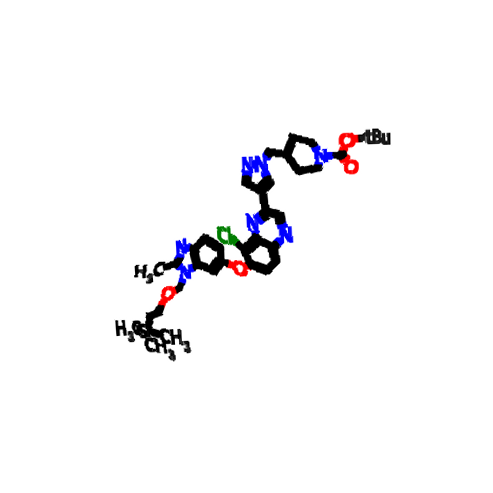 Cc1nc2ccc(Oc3ccc4ncc(-c5cnn(CC6CCN(C(=O)OC(C)(C)C)CC6)c5)nc4c3Cl)cc2n1COCC[Si](C)(C)C